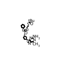 Cc1nc(N)nc2c1ncn2C1C=C[C@@H](COP(OCCSC(=O)C(C)(C)C)Oc2ccccc2)C1